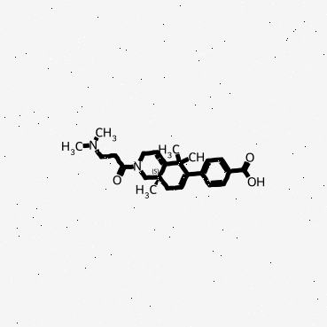 CN(C)CCC(=O)N1CC=C2C(C)(C)C(c3ccc(C(=O)O)cc3)=CC[C@]2(C)C1